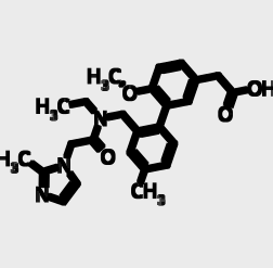 CCN(Cc1cc(C)ccc1-c1cc(CC(=O)O)ccc1OC)C(=O)Cn1ccnc1C